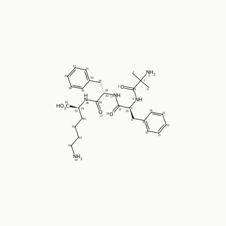 CC(C)(N)C(=O)N[C@@H](Cc1ccccc1)C(=O)N[C@@H](Cc1ccccc1)C(=O)N[C@@H](CCCCN)C(=O)O